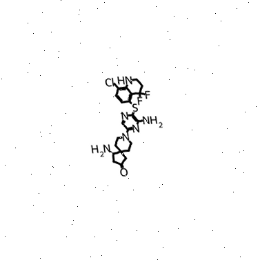 Nc1nc(N2CCC3(CC2)CC(=O)C[C@@H]3N)cnc1Sc1ccc(Cl)c2c1C(F)(F)CCN2